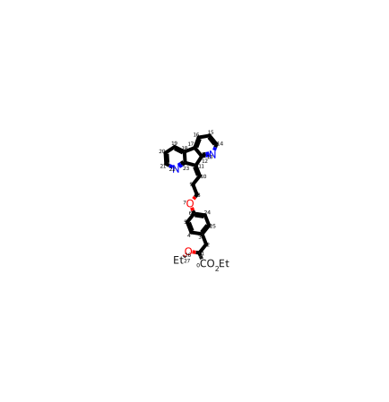 CCOC(=O)C(Cc1ccc(OCCC=C2c3ncccc3-c3cccnc32)cc1)OCC